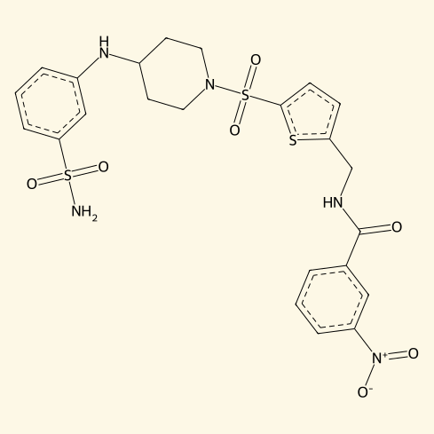 NS(=O)(=O)c1cccc(NC2CCN(S(=O)(=O)c3ccc(CNC(=O)c4cccc([N+](=O)[O-])c4)s3)CC2)c1